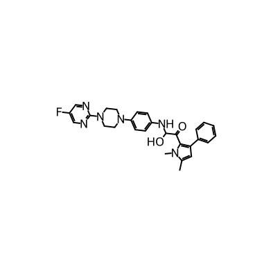 Cc1cc(-c2ccccc2)c(C(=O)C(O)Nc2ccc(N3CCN(c4ncc(F)cn4)CC3)cc2)n1C